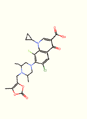 Cc1oc(=O)oc1CN1C(C)CN(c2c(Cl)cc3c(=O)c(C(=O)O)cn(C4CC4)c3c2F)CC1C